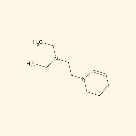 CCN(CC)CCN1C=CC=CC1